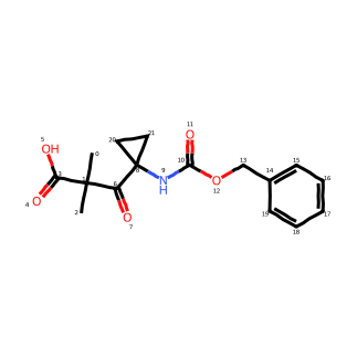 CC(C)(C(=O)O)C(=O)C1(NC(=O)OCc2ccccc2)CC1